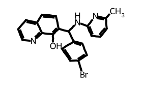 Cc1cccc(NC(c2ccc(Br)cc2)c2ccc3cccnc3c2O)n1